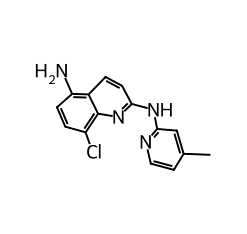 Cc1ccnc(Nc2ccc3c(N)ccc(Cl)c3n2)c1